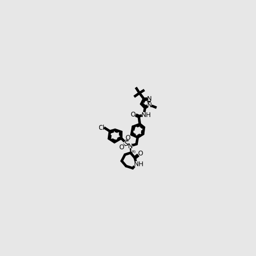 Cn1nc(C(C)(C)C)cc1NC(=O)c1ccc(CN([C@@H]2CCCCNC2=O)S(=O)(=O)c2ccc(Cl)cc2)cc1